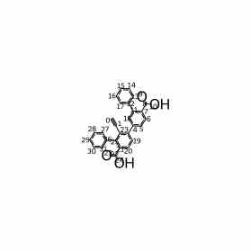 C#Cc1c(-c2ccc(C(=O)O)c(-c3ccccc3)c2)ccc(C(=O)O)c1-c1ccccc1